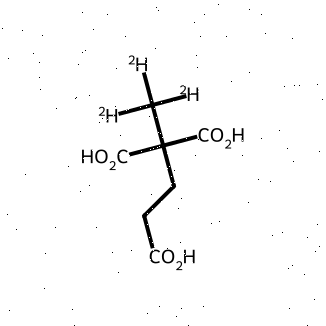 [2H]C([2H])([2H])C(CCC(=O)O)(C(=O)O)C(=O)O